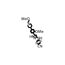 COCCN1CCC(c2ccc(-c3cc(Nc4cnc(C#N)cn4)n[nH]3)c(OC)c2)CC1